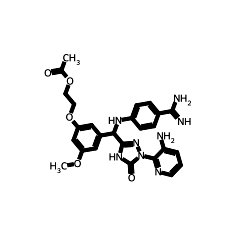 COc1cc(OCCOC(C)=O)cc(C(Nc2ccc(C(=N)N)cc2)c2nn(-c3ncccc3N)c(=O)[nH]2)c1